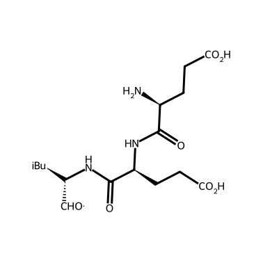 CC[C@H](C)[C@@H]([C]=O)NC(=O)[C@H](CCC(=O)O)NC(=O)[C@@H](N)CCC(=O)O